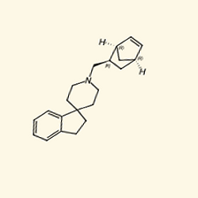 C1=C[C@H]2C[C@@H]1C[C@H]2CN1CCC2(CCc3ccccc32)CC1